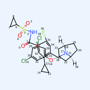 O=C(NS(=O)(=O)C1CC1)c1cc(C2CC2)c(CN2[C@@H]3CC[C@H]2C[C@H](Oc2cc(Cl)cc(Cl)c2)C3)cc1F